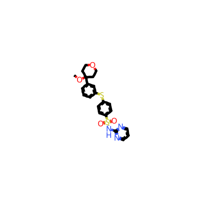 COC1(c2cccc(Sc3ccc(S(=O)(=O)Nc4ncccn4)cc3)c2)CCOCC1